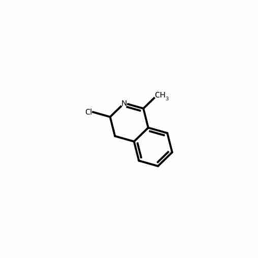 CC1=NC(Cl)Cc2ccccc21